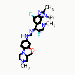 C=N/C=C(F)\C(=N/CNc1ccc2c(c1)OCC1CN(C)CCN21)c1cc(F)c2nc(C)n(C(C)C)c2c1